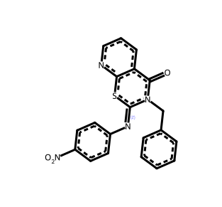 O=c1c2cccnc2s/c(=N\c2ccc([N+](=O)[O-])cc2)n1Cc1ccccc1